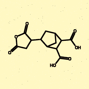 O=C1CC(C2CC3CC2C(C(=O)O)C3C(=O)O)C(=O)O1